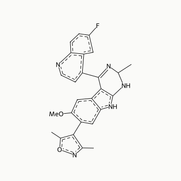 COc1cc2c3c([nH]c2cc1-c1c(C)noc1C)NC(C)N=C3c1ccnc2ccc(F)cc12